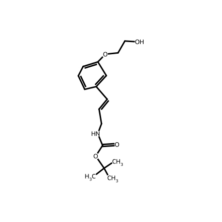 CC(C)(C)OC(=O)NC/C=C/c1cccc(OCCO)c1